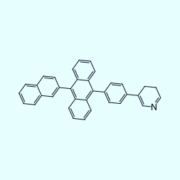 C1=NC=C(c2ccc(-c3c4ccccc4c(-c4ccc5ccccc5c4)c4ccccc34)cc2)CC1